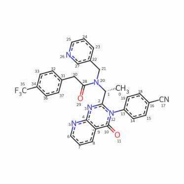 C[C@H](c1nc2ncccc2c(=O)n1-c1ccc(C#N)cc1)N(Cc1cccnc1)C(=O)Cc1ccc(C(F)(F)F)cc1